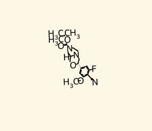 COc1cc([C@H]2CN3CCN(C(=O)OC(C)(C)C)C[C@@H]3CO2)cc(F)c1C#N